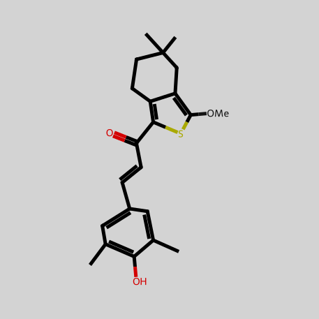 COc1sc(C(=O)/C=C/c2cc(C)c(O)c(C)c2)c2c1CC(C)(C)CC2